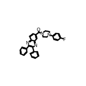 O=C(c1ccc2nc(-c3ccccc3)c(-c3ccccc3)nc2c1)N1CCN(c2ccc(F)cc2)CC1